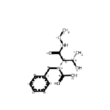 CONC(=O)[C@H]([C@H](C)O)N(Cc1ccccc1)C(=O)O